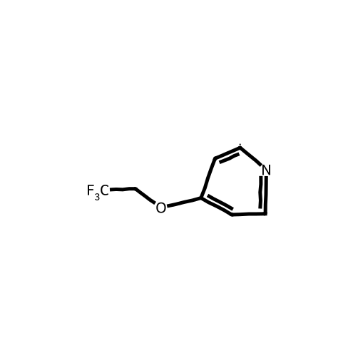 FC(F)(F)COc1c[c]ncc1